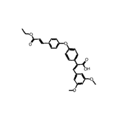 CCOC(=O)C=Cc1ccc(Oc2ccc(C(=Cc3cc(OC)cc(OC)c3)C(=O)O)cc2)cc1